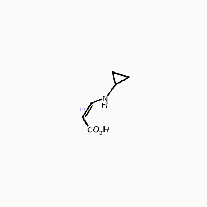 O=C(O)/C=C\NC1CC1